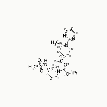 CC(C)OC(=O)N1CCC[C@H](NS(C)(=O)=O)[C@@H]1CO[C@H]1CCN(c2ncccn2)[C@@H](C)C1